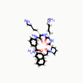 NCCCC[C@H](NC(=O)[C@H](CCCCN)NC(=O)[C@@H]1CCCN1C(=O)Cc1cccc2ccccc12)C(=O)Nc1cccc(C(N)=O)c1